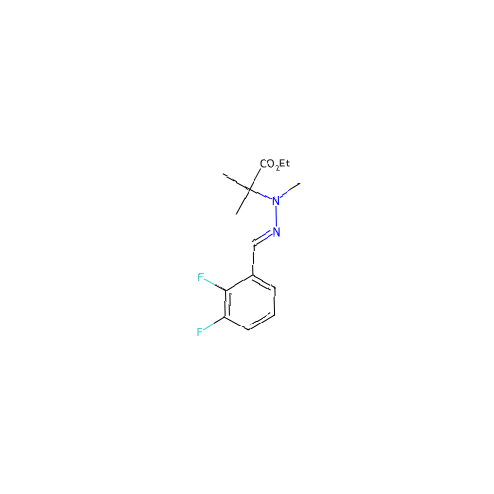 CCOC(=O)C(C)(C)N(C)N=Cc1cccc(F)c1F